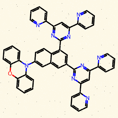 c1ccc(-c2cc(-c3ccccn3)nc(-c3cc(-c4nc(-c5ccccn5)cc(-c5ccccn5)n4)c4ccc(N5c6ccccc6Oc6ccccc65)cc4c3)n2)nc1